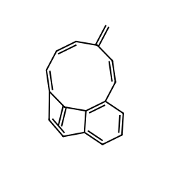 C=c1cccc2ccc3cccc(cc1)c3c2=C